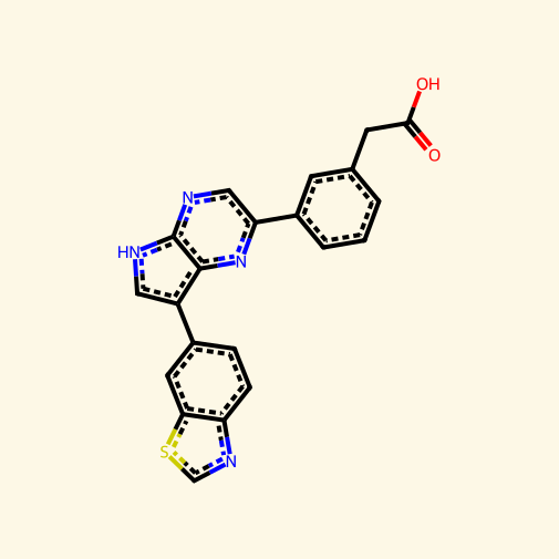 O=C(O)Cc1cccc(-c2cnc3[nH]cc(-c4ccc5ncsc5c4)c3n2)c1